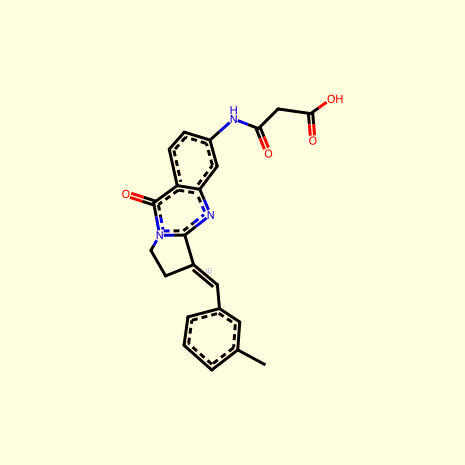 Cc1cccc(/C=C2\CCn3c2nc2cc(NC(=O)CC(=O)O)ccc2c3=O)c1